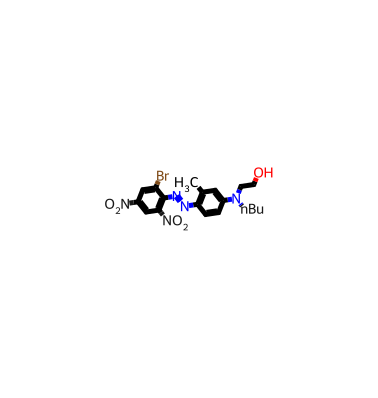 CCCCN(CCO)c1ccc(N=Nc2c(Br)cc([N+](=O)[O-])cc2[N+](=O)[O-])c(C)c1